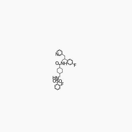 O=C(NCC(Cc1cccnc1)c1ccc(F)cc1)C1CCC(CNS(=O)(=O)c2ccccc2F)CC1